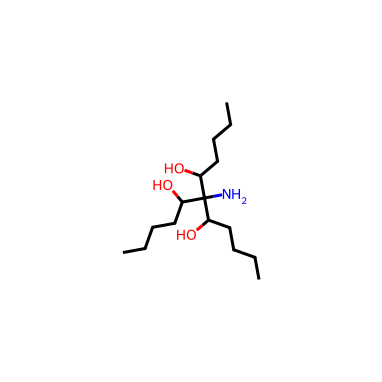 CCCCC(O)C(N)(C(O)CCCC)C(O)CCCC